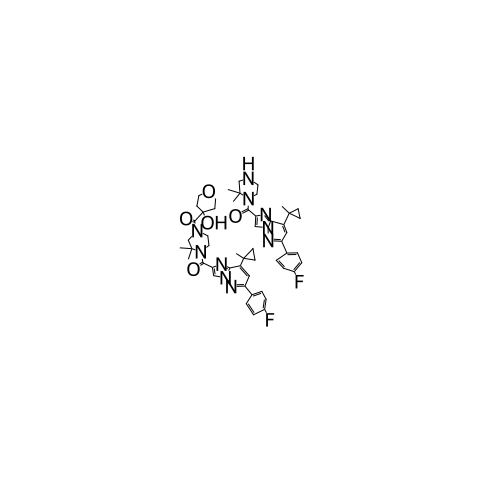 CC1(c2cc(-c3ccc(F)cc3)nn3cc(C(=O)N4CCN(C(=O)C5(O)CCOCC5)CC4(C)C)nc23)CC1.CC1(c2cc(-c3ccc(F)cc3)nn3cc(C(=O)N4CCNCC4(C)C)nc23)CC1